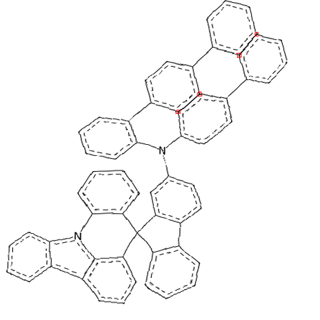 c1ccc(-c2ccc(-c3ccccc3N(c3ccc(-c4ccccc4)cc3)c3ccc4c(c3)C3(c5ccccc5-4)c4ccccc4-n4c5ccccc5c5cccc3c54)cc2)cc1